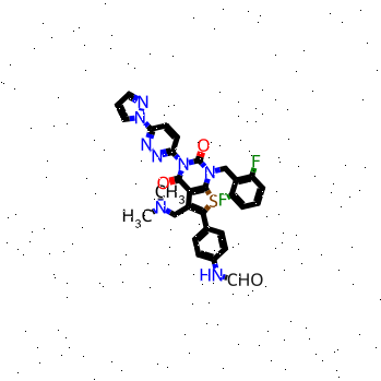 CN(C)Cc1c(-c2ccc(NC=O)cc2)sc2c1c(=O)n(-c1ccc(-n3cccn3)nn1)c(=O)n2Cc1c(F)cccc1F